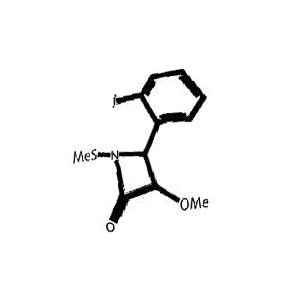 COC1C(=O)N(SC)C1c1ccccc1I